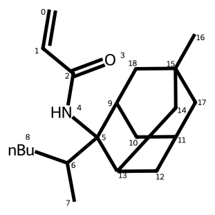 C=CC(=O)NC1(C(C)CCCC)C2CC3CC1CC(C)(C3)C2